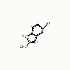 O=Cc1nc2cc(Cl)ccc2o1